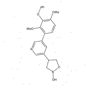 CCCOc1c(OC)ccc(-c2cncc(C3COB(O)C3)c2)c1OC